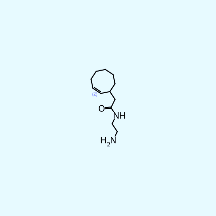 NCCNC(=O)CC1/C=C\CCCCC1